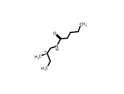 [CH2]CCCC(=O)NC[C@H](C)CC